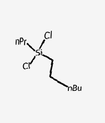 CCCCCC[Si](Cl)(Cl)CCC